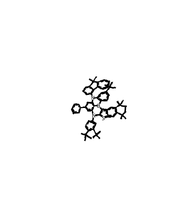 CC(C)(C)c1ccc2c(c1)N(c1cccc3c1-c1ccccc1C3(C)C)c1cc(-c3ccccc3)cc3c1B2c1c(sc2cc4c(cc12)C(C)(C)CCC4(C)C)N3c1ccc(C(C)(C)C)c(C(C)(C)C)c1